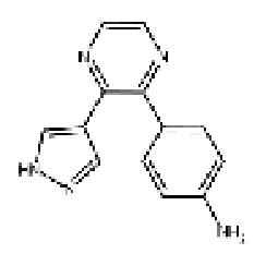 Nc1ccc(-c2nccnc2-c2cn[nH]c2)cc1